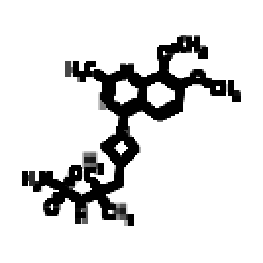 COc1ccc2c(N3CC(CC(C)(C)NS(N)(=O)=O)C3)nc(C)nc2c1OC